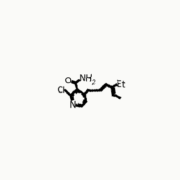 CC=C(C=CCc1ccnc(Cl)c1C(N)=O)CC